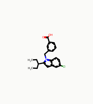 CCC(CC)c1cc2cc(Cl)ccc2n1Cc1cccc(C(=O)O)c1